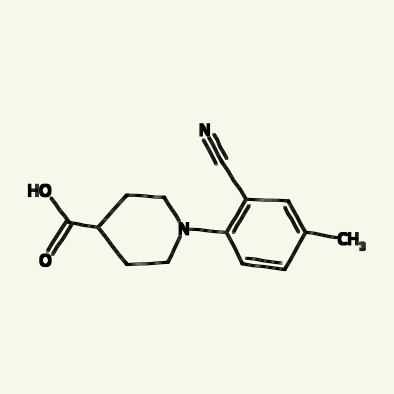 Cc1ccc(N2CCC(C(=O)O)CC2)c(C#N)c1